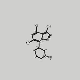 CC(=O)c1cc(Cl)c2c(C#N)cnn2c1N1CCC[C@H](O)C1